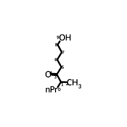 CCCC(C)C(=O)CCCCO